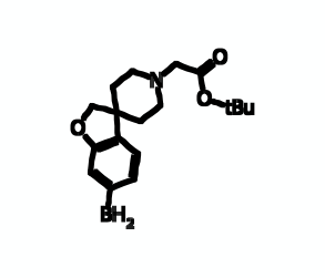 Bc1ccc2c(c1)OCC21CCN(CC(=O)OC(C)(C)C)CC1